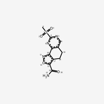 CS(=O)(=O)c1ncc2c(n1)-c1noc(C(N)=O)c1CC2